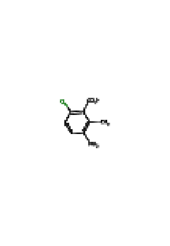 Cc1c([N+](=O)[O-])ccc(Cl)c1C(=O)O